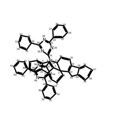 C1=CC2(C3=Cc4ccccc4C3=C1)C1=C(C=CC2N(c2nc(-c3ccccc3)nc(-c3ccccc3)n2)c2nc(-c3ccccc3)nc(-c3ccccc3)n2)c2ccccc2C1